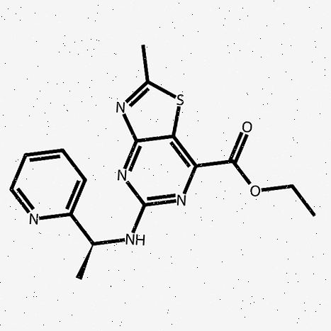 CCOC(=O)c1nc(N[C@@H](C)c2ccccn2)nc2nc(C)sc12